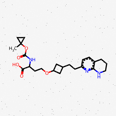 CC1(OC(=O)NC(CCOC2CC(CCc3ccc4c(n3)NCCC4)C2)C(=O)O)CC1